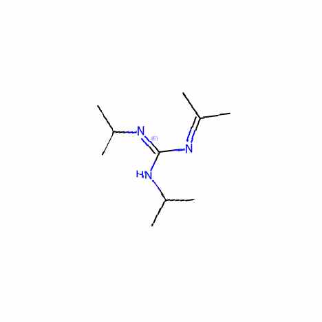 CC(C)=N/C(=N/C(C)C)NC(C)C